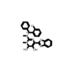 CN1C(N(C)[C@H](c2ccccc2)c2ccccc2Cl)=NC(c2nc3ccccc3o2)=C(O)C1O